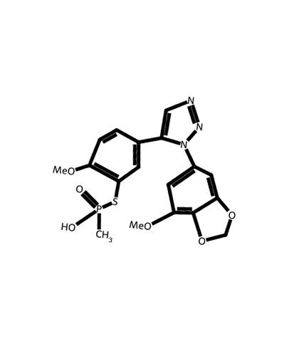 COc1ccc(-c2cnnn2-c2cc(OC)c3c(c2)OCO3)cc1SP(C)(=O)O